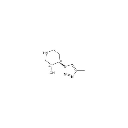 Cc1cn([C@@H]2CCNC[C@H]2O)nn1